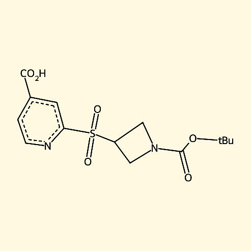 CC(C)(C)OC(=O)N1CC(S(=O)(=O)c2cc(C(=O)O)ccn2)C1